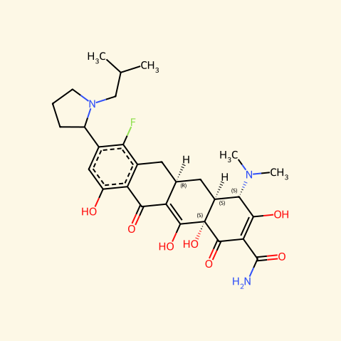 CC(C)CN1CCCC1c1cc(O)c2c(c1F)C[C@H]1C[C@H]3[C@H](N(C)C)C(O)=C(C(N)=O)C(=O)[C@@]3(O)C(O)=C1C2=O